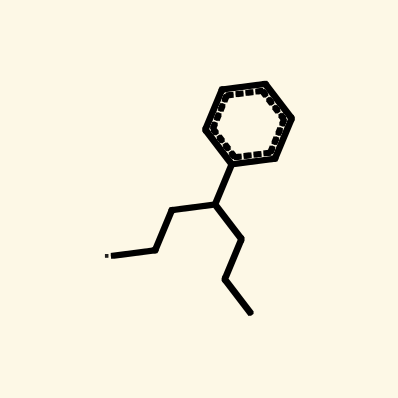 [CH2]CCC(CCC)c1ccccc1